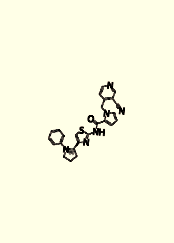 N#Cc1cnccc1Cn1cccc1C(=O)Nc1nc([C@H]2CCCN2c2ccccc2)cs1